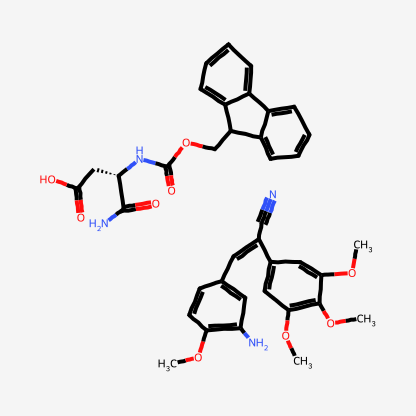 COc1ccc(/C=C(/C#N)c2cc(OC)c(OC)c(OC)c2)cc1N.NC(=O)[C@H](CC(=O)O)NC(=O)OCC1c2ccccc2-c2ccccc21